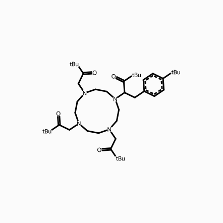 CC(C)(C)C(=O)CN1CCN(CC(=O)C(C)(C)C)CCN(C(Cc2ccc(C(C)(C)C)cc2)C(=O)C(C)(C)C)CCN(CC(=O)C(C)(C)C)CC1